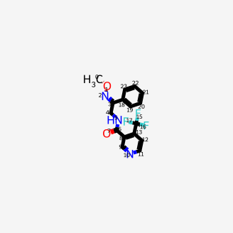 CO/N=C(/CNC(=O)c1cnccc1C(F)(F)F)c1ccccc1